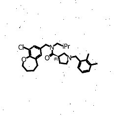 Cc1cccc(CN2CC[C@@H](C(=O)N(Cc3cc(Cl)c4c(c3)CCCCO4)CC(C)C)C2)c1C